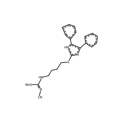 CSC(=NC#N)NCCCCSc1nc(-c2ccccc2)c(-c2ccccc2)[nH]1